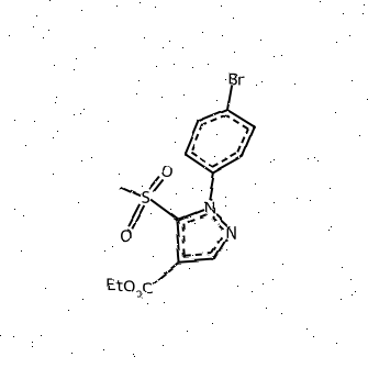 CCOC(=O)c1cnn(-c2ccc(Br)cc2)c1S(C)(=O)=O